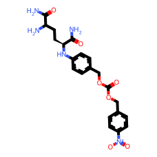 NC(=O)C(N)CC[C@H](Nc1ccc(COC(=O)OCc2ccc([N+](=O)[O-])cc2)cc1)C(N)=O